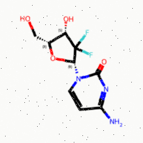 Nc1ccn([C@@H]2O[C@H](CO)[C@H](O)C2(F)F)c(=O)n1